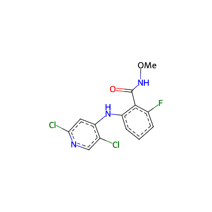 CONC(=O)c1c(F)cccc1Nc1cc(Cl)ncc1Cl